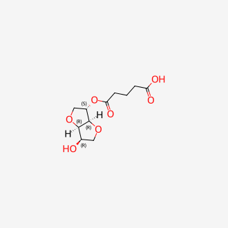 O=C(O)CCCC(=O)O[C@H]1CO[C@H]2[C@@H]1OC[C@H]2O